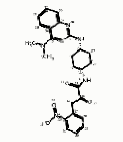 CN(C)c1nc(N[C@H]2CC[C@@H](NC(=O)C(=O)Cc3ccccc3[N+](=O)[O-])CC2)nc2ccccc12